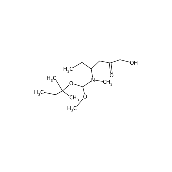 CCC(CC(=O)CO)N(C)C(OC)OC(C)(C)CC